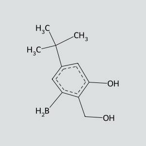 Bc1cc(C(C)(C)C)cc(O)c1CO